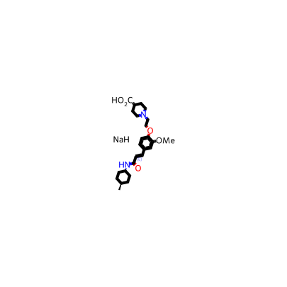 COc1cc(/C=C/C(=O)N[C@H]2CC[C@H](C)CC2)ccc1OCCN1CCC(C(=O)O)CC1.[NaH]